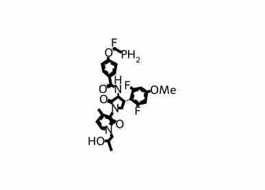 COc1cc(F)c([C@@H]2CN(c3c(C)ccn(CC(C)O)c3=O)C(=O)[C@H]2NC(=O)c2ccc(OC(F)P)cc2)c(F)c1